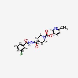 Cc1ccc(OC(=O)N2CCC(C(=O)NCC(=O)c3cccc(F)c3)CC2)cn1